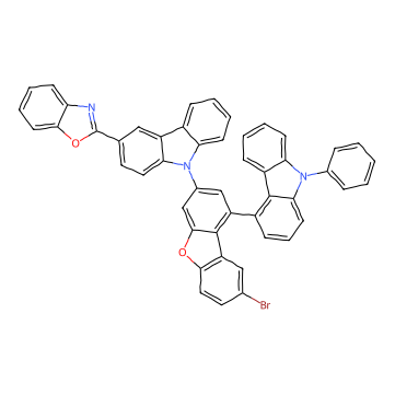 Brc1ccc2oc3cc(-n4c5ccccc5c5cc(-c6nc7ccccc7o6)ccc54)cc(-c4cccc5c4c4ccccc4n5-c4ccccc4)c3c2c1